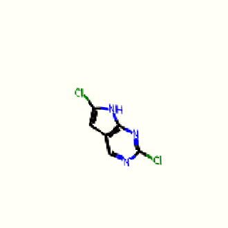 Clc1ncc2cc(Cl)[nH]c2n1